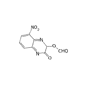 O=COC1N=c2c([N+](=O)[O-])cccc2=NC1=O